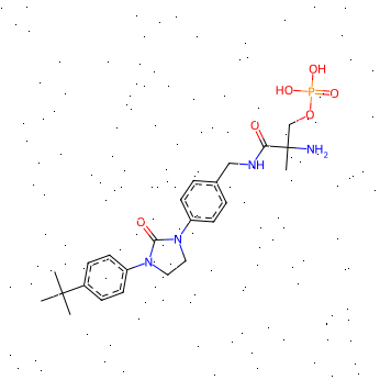 CC(N)(COP(=O)(O)O)C(=O)NCc1ccc(N2CCN(c3ccc(C(C)(C)C)cc3)C2=O)cc1